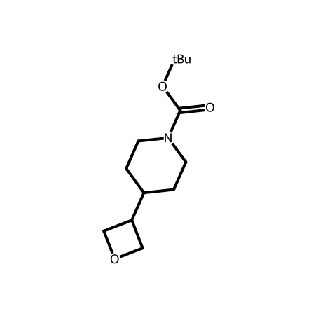 CC(C)(C)OC(=O)N1CCC(C2COC2)CC1